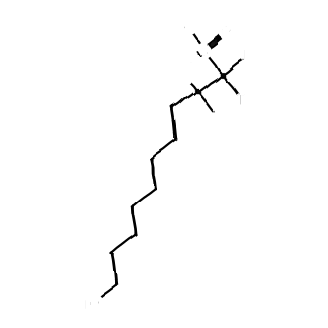 O=S(=O)(O)C(F)(F)C(F)(F)CCCCCCCCO